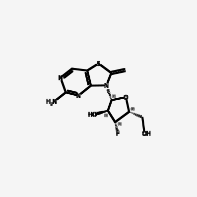 C=C1Sc2cnc(N)nc2N1[C@@H]1O[C@H](CO)[C@H](F)[C@H]1O